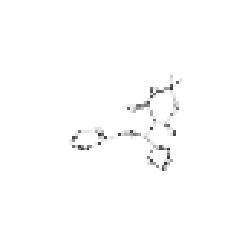 CC1(C)OC(=O)C(C(C#Cc2ccccc2)c2ccco2)C(=O)O1